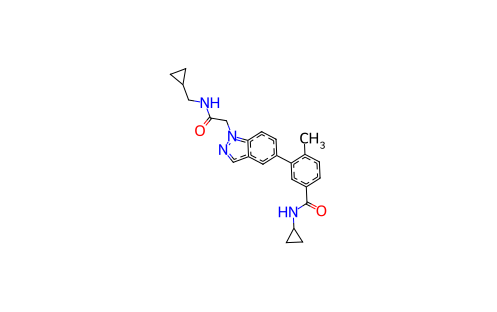 Cc1ccc(C(=O)NC2CC2)cc1-c1ccc2c(cnn2CC(=O)NCC2CC2)c1